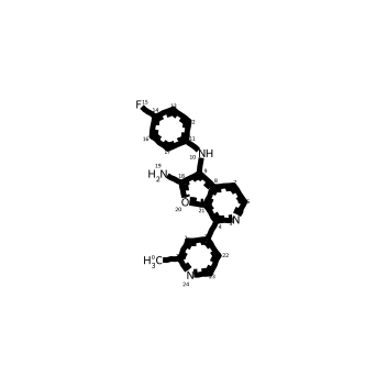 Cc1cc(-c2nccc3c(Nc4ccc(F)cc4)c(N)oc23)ccn1